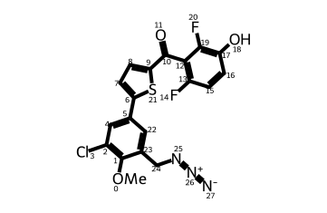 COc1c(Cl)cc(-c2ccc(C(=O)c3c(F)ccc(O)c3F)s2)cc1CN=[N+]=[N-]